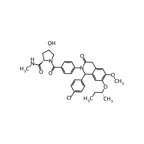 CC[C@@H](C)Oc1cc2c(cc1OC)CC(=O)N(c1ccc(C(=O)N3C[C@@H](O)C[C@@H]3C(=O)NC)cc1)C2c1ccc(Cl)cc1